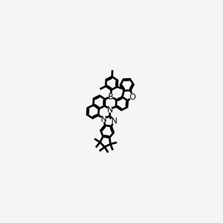 Cc1cc(C)c(B2c3c(ccc4oc5ccccc5c34)-n3c4c2ccc2cccc(c24)n2c4cc5c(cc4nc32)C(C)(C)C(C)(C)C5(C)C)c(C)c1